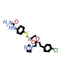 NC(=O)Nc1ccc(SC[C@@H]2CO[C@](CCc3ccc(Cl)cc3)(Cn3ccnc3)O2)cc1